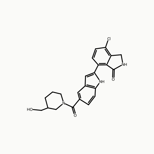 O=C1NCc2c(Cl)ccc(-c3cc4cc(C(=O)N5CCCC(CO)C5)ccc4[nH]3)c21